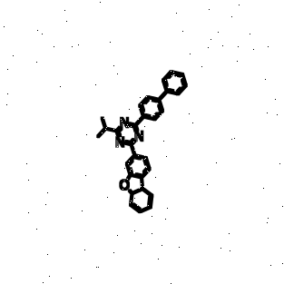 CC(C)c1nc(-c2ccc(-c3ccccc3)cc2)nc(-c2ccc3c(c2)OC2C=CC=CC32)n1